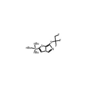 CCC[CH2][Sn]([CH2]CCC)([CH2]CCC)[c]1cn2cnc(SC(F)(F)CF)c2s1